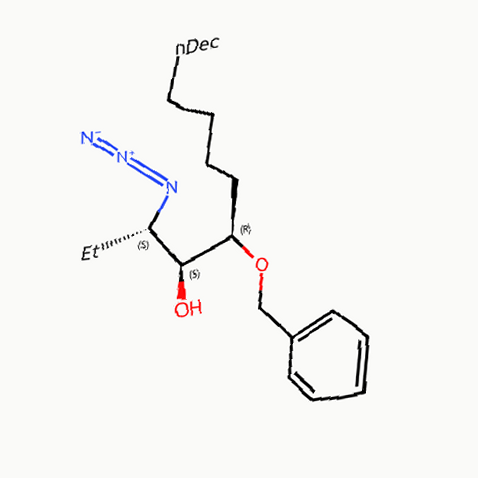 CCCCCCCCCCCCCC[C@@H](OCc1ccccc1)[C@@H](O)[C@H](CC)N=[N+]=[N-]